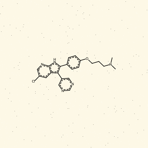 CN(C)CCCOc1ccc(-c2[nH]c3ncc(Cl)cc3c2-c2cncnc2)cc1